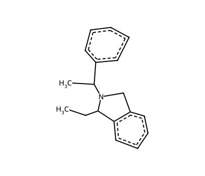 CCC1c2ccccc2CN1C(C)c1ccccc1